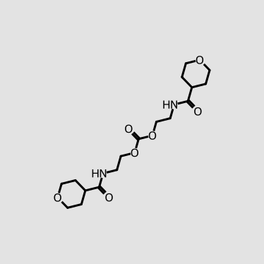 O=C(OCCNC(=O)C1CCOCC1)OCCNC(=O)C1CCOCC1